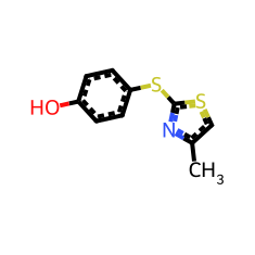 Cc1csc(Sc2ccc(O)cc2)n1